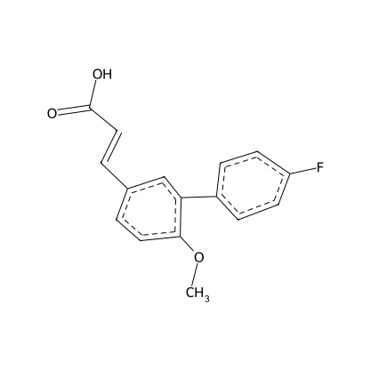 COc1ccc(C=CC(=O)O)cc1-c1ccc(F)cc1